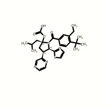 CCc1cc(C(=O)N2[C@@H](c3nccs3)[C@@H](c3cnccn3)C[C@]2(CC(C)C)OC(=O)O)ccc1C(C)(C)C